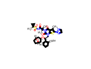 COc1ccccc1[C@H](Cn1c(=O)n(C(C)(C)C(=O)NS(=O)(=O)C2(C)CC2)c(=O)c2c(C)c(-n3nccn3)sc21)O[C@@H]1C[C@H]2CC[C@@H](C1)O2